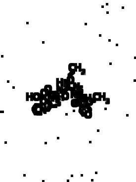 C=CCON=C(C(=O)NC1C(=O)N2C(OC(=O)O)=C(C[n+]3ccccc3)CS[C@@H]12)c1nsc(N[PH](=O)N2CCOCC2OCC)n1